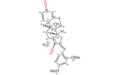 COc1ccc(C=C2C[C@H]3[C@@H]4CCC5=CC(=O)C=C[C@]5(C)[C@H]4CC[C@]3(C)C2=O)c(OC)c1